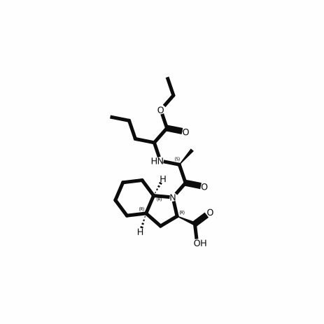 CCCC(N[C@@H](C)C(=O)N1[C@@H](C(=O)O)C[C@H]2CCCC[C@H]21)C(=O)OCC